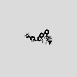 CC1(S(=O)(=O)NC(=O)c2ccccc2-c2ccc3c(c2)OC[C@H](Cc2ccc(-c4cncs4)cn2)C3)CC1